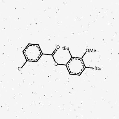 COc1c(C(C)(C)C)ccc(OC(=O)c2cccc(Cl)c2)c1C(C)(C)C